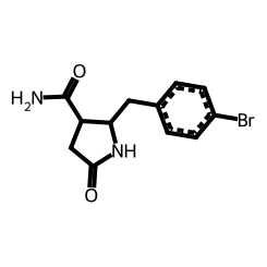 NC(=O)C1CC(=O)NC1Cc1ccc(Br)cc1